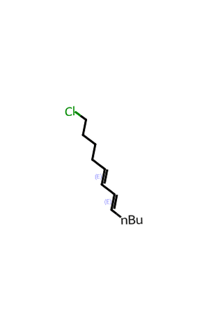 CCCC/C=C/C=C/CCCCCl